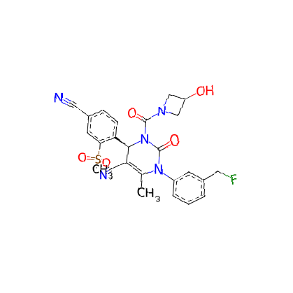 CC1=C(C#N)[C@@H](c2ccc(C#N)cc2S(C)(=O)=O)N(C(=O)N2CC(O)C2)C(=O)N1c1cccc(CF)c1